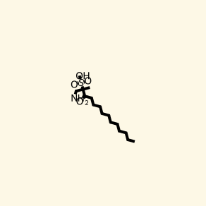 CCCCCCCCCCCC(=O)C(C)(CN)S(=O)(=O)O